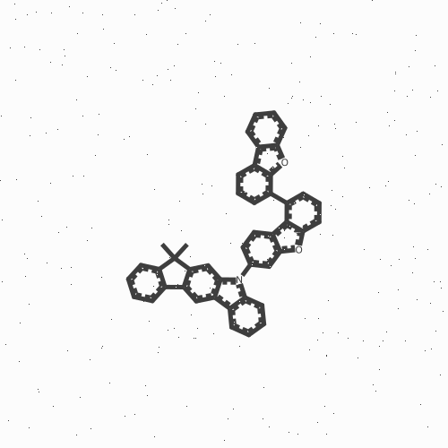 CC1(C)c2ccccc2-c2cc3c4ccccc4n(-c4ccc5c(c4)oc4cccc(-c6cccc7c6oc6ccccc67)c45)c3cc21